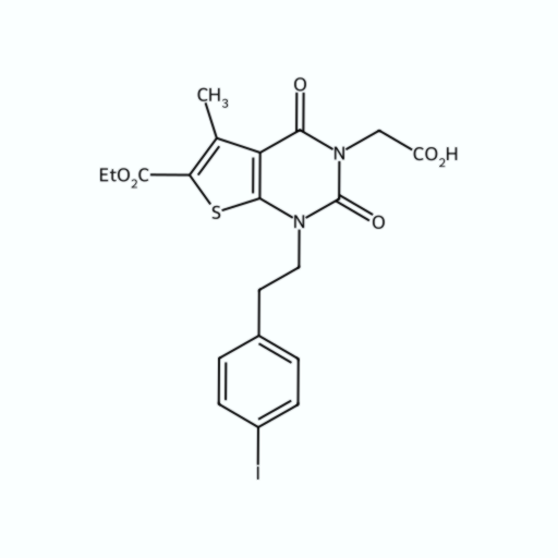 CCOC(=O)c1sc2c(c1C)c(=O)n(CC(=O)O)c(=O)n2CCc1ccc(I)cc1